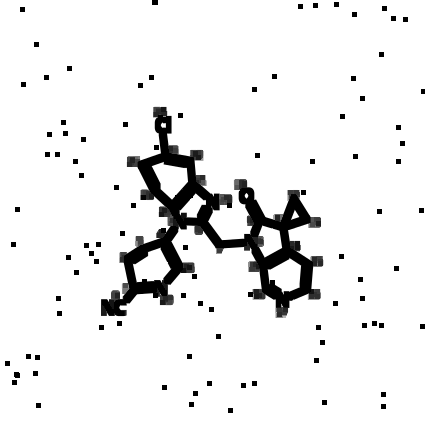 N#Cc1ccc(-n2c(CN3C(=O)C4(CC4)c4ccncc43)nc3cc(Cl)ccc32)cn1